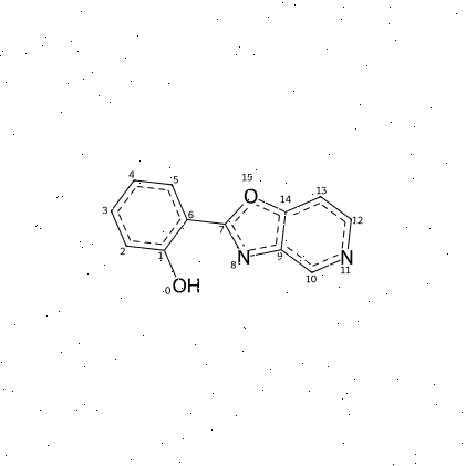 Oc1ccccc1-c1nc2cnccc2o1